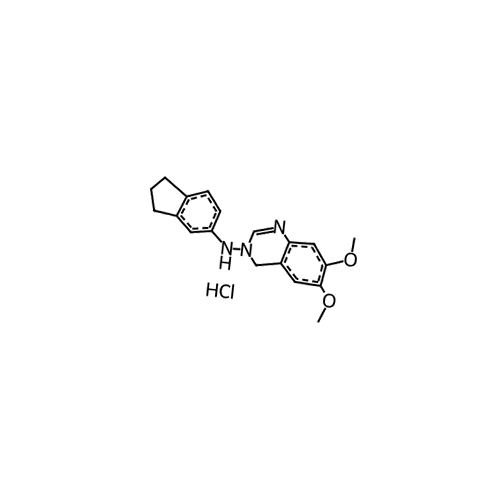 COc1cc2c(cc1OC)N=CN(Nc1ccc3c(c1)CCC3)C2.Cl